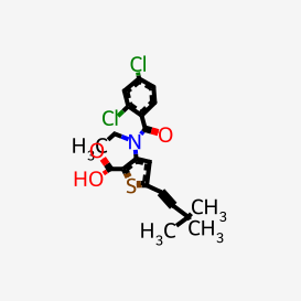 CCN(C(=O)c1ccc(Cl)cc1Cl)c1cc(C#CC(C)(C)C)sc1C(=O)O